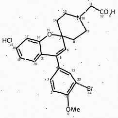 COc1ccc(C2=CC3(CCN(CC(=O)O)CC3)Oc3ccccc32)cc1Br.Cl